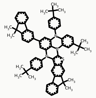 CC(C)(C)c1ccc(N2c3ccc(C(C)(C)C)cc3B3c4sc5cc6c(cc5c4N(c4ccc(C(C)(C)C)cc4)c4cc(-c5ccc7c(c5)-c5ccccc5C7(C)C)cc2c43)-c2ccccc2C6(C)C)cc1